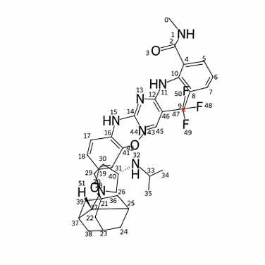 CNC(=O)c1cccc(C)c1Nc1nc(Nc2ccc(O[C@]34CC5CC(C3)[C@@H](N3CC[C@H](NC(C)C)C3)C(C5)C4)cc2OC)ncc1C(F)(F)F